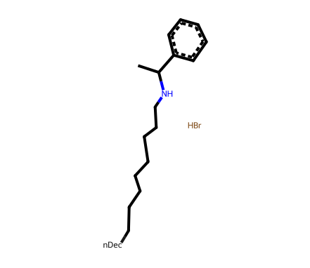 Br.CCCCCCCCCCCCCCCCCCNC(C)c1ccccc1